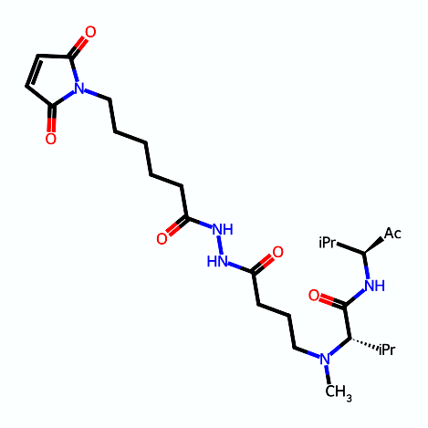 CC(=O)[C@@H](NC(=O)[C@H](C(C)C)N(C)CCCC(=O)NNC(=O)CCCCCN1C(=O)C=CC1=O)C(C)C